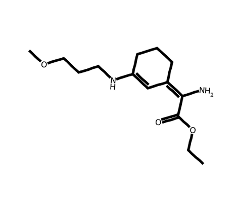 CCOC(=O)/C(N)=C1\C=C(NCCCOC)CCC1